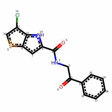 O=C(CNC(=O)c1cc2scc(Cl)c2[nH]1)c1ccccc1